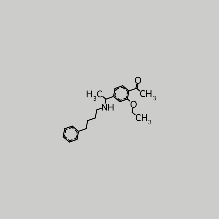 CCOc1cc(C(C)NCCCCc2ccccc2)ccc1C(C)=O